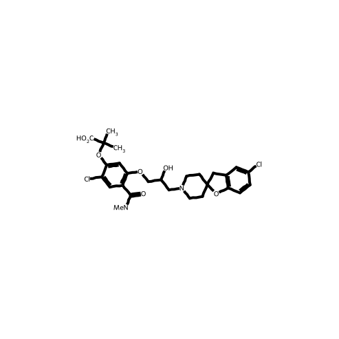 CNC(=O)c1cc(Cl)c(OC(C)(C)C(=O)O)cc1OCC(O)CN1CCC2(CC1)Cc1cc(Cl)ccc1O2